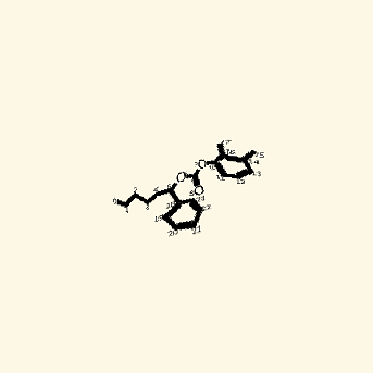 CCCCCC(OC(=O)Oc1cccc(C)c1C)c1ccccc1